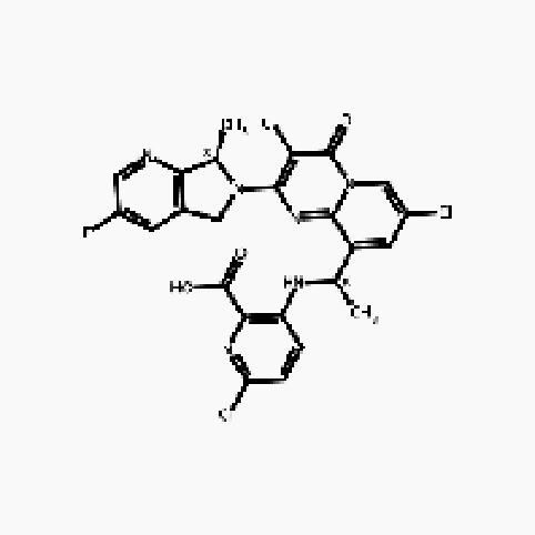 C[C@@H]1c2ncc(F)cc2CN1c1nc2c([C@@H](C)Nc3ccc(Cl)nc3C(=O)O)cc(Cl)cn2c(=O)c1Cl